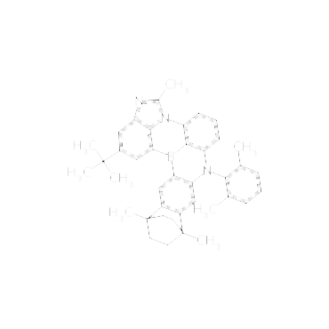 Cc1cccc(C)c1N1c2cc3c(cc2B2c4c1cccc4-n1c(C)nc4cc(C(C)(C)C)cc2c41)C1(C)CCC3(C)CC1